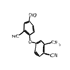 N#Cc1cc(C=O)ccc1Oc1ccc(C#N)c(C(F)(F)F)c1